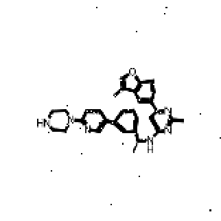 Cc1nc(N[C@@H](C)c2cccc(-c3ccc(N4CCNCC4)nc3)c2)cc(-c2ccc3occ(C)c3c2)n1